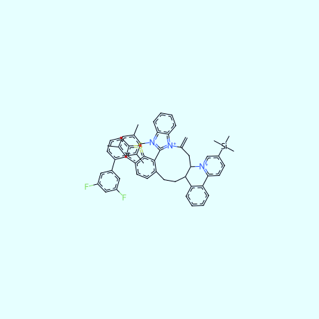 C=C1CC2C(CCc3ccc4c(sc5cccc(-c6cc(F)cc(F)c6)c54)c3-c3n(-c4c(C)cc(C)cc4C)c4ccccc4[n+]31)c1ccccc1-c1ccc([Si](C)(C)C)c[n+]12